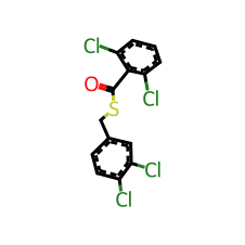 O=C(SCc1ccc(Cl)c(Cl)c1)c1c(Cl)cccc1Cl